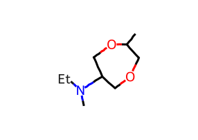 CCN(C)C1COCC(C)OC1